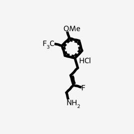 COc1ccc(C/C=C(\F)CN)cc1C(F)(F)F.Cl